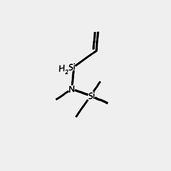 C=C[SiH2]N(C)[Si](C)(C)C